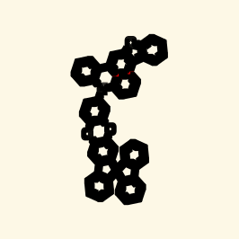 c1ccc(N(c2ccc3c(c2)Oc2cc4c(cc2O3)-c2ccccc2C42c3ccccc3-c3ccccc32)c2ccccc2-c2ccc3c(c2)oc2ccccc23)cc1